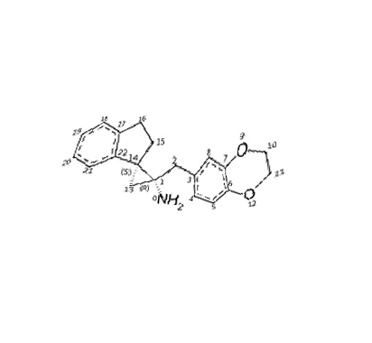 N[C@]1(Cc2ccc3c(c2)OCCO3)C[C@]12CCc1ccccc12